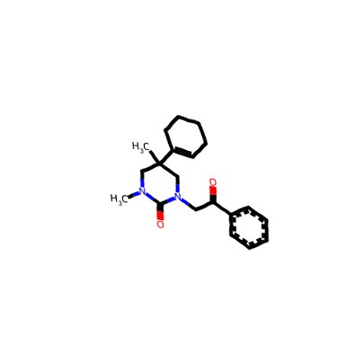 CN1CC(C)(C2=CCCCC2)CN(CC(=O)c2ccccc2)C1=O